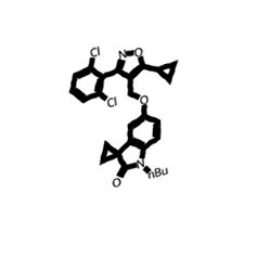 CCCCN1C(=O)C2(CC2)c2cc(OCc3c(-c4c(Cl)cccc4Cl)noc3C3CC3)ccc21